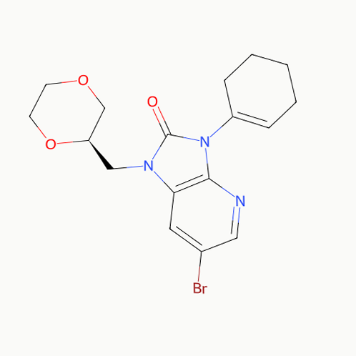 O=c1n(C[C@@H]2COCCO2)c2cc(Br)cnc2n1C1=CCCCC1